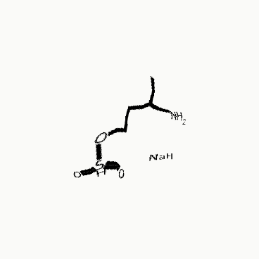 CC(N)CCO[SH](=O)=O.[NaH]